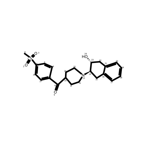 CS(=O)(=O)c1ccc(C(=O)C2CCN([C@@H]3Cc4ccccc4C[C@H]3O)CC2)cc1